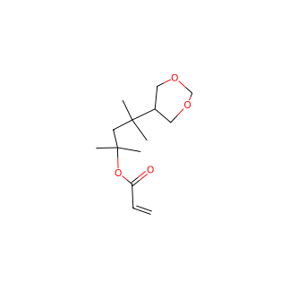 C=CC(=O)OC(C)(C)CC(C)(C)C1COCOC1